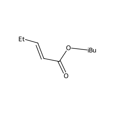 CCC=CC(=O)OC(C)CC